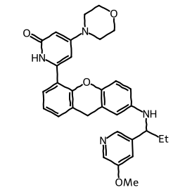 CCC(Nc1ccc2c(c1)Cc1cccc(-c3cc(N4CCOCC4)cc(=O)[nH]3)c1O2)c1cncc(OC)c1